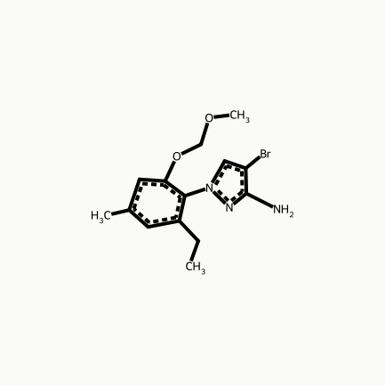 CCc1cc(C)cc(OCOC)c1-n1cc(Br)c(N)n1